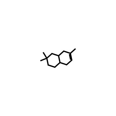 CC1=CCC2CCC(C)(C)CC2C1